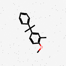 COc1ccc(C(C)(C)c2ccccc2)cc1C